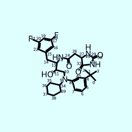 CC(C)(C)c1cccc(N(CC(O)C(Cc2cc(F)cc(F)c2)NC(=O)CC2NC(=O)NC2=O)C2CCCCC2)c1